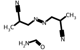 CC(C#N)CN=NCC(C)C#N.NC=O